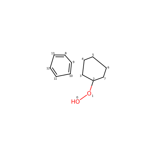 OOC1CCCCC1.c1ccccc1